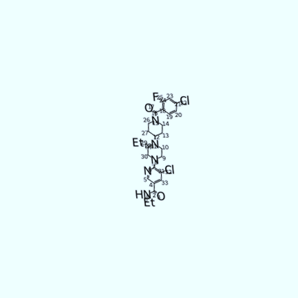 CCNC(=O)c1cnc(N2CCN(C3CCN(C(=O)c4ccc(Cl)cc4F)CC3)[C@@H](CC)C2)c(Cl)c1